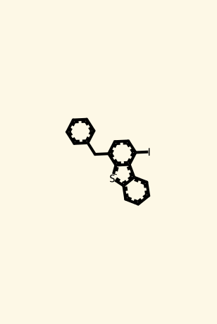 Ic1ccc(Cc2ccccc2)c2sc3ccccc3c12